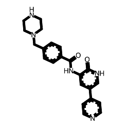 O=C(Nc1cc(-c2ccncc2)c[nH]c1=O)c1ccc(CN2CCNCC2)cc1